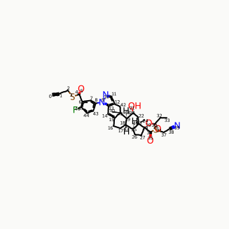 C#CCSC(=O)c1cc(-n2ncc3c2C=C2CC[C@@H]4[C@H]([C@@H](O)C[C@@]5(C)[C@H]4CC[C@]5(OC(=O)CC)C(=O)SCC#N)[C@@]2(C)C3)ccc1F